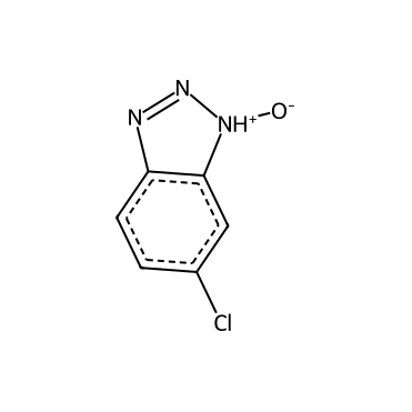 [O-][NH+]1N=Nc2ccc(Cl)cc21